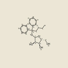 CCCC[Si](OC1O[C@H](CO)[C@@H](O)[C@H]1O)(c1ccccc1)c1ccccc1